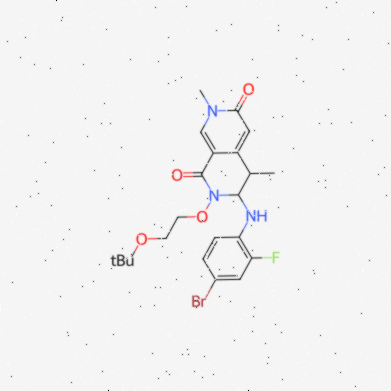 CC1c2cc(=O)n(C)cc2C(=O)N(OCCOC(C)(C)C)C1Nc1ccc(Br)cc1F